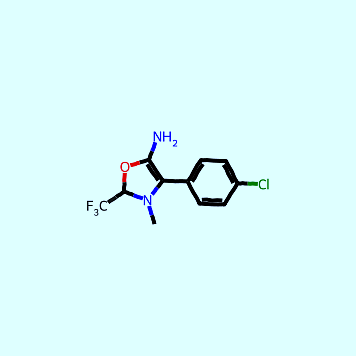 CN1C(c2ccc(Cl)cc2)=C(N)OC1C(F)(F)F